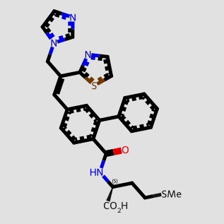 CSCC[C@H](NC(=O)c1ccc(C=C(Cn2ccnc2)c2nccs2)cc1-c1ccccc1)C(=O)O